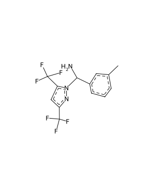 Cc1cccc(C(N)n2nc(C(F)(F)F)cc2C(F)(F)F)c1